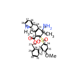 COc1ccc(S(=O)(=O)c2c(C)c(N)c(Cc3cccnc3)c(C)c2C(=O)OCc2ccccc2)cc1